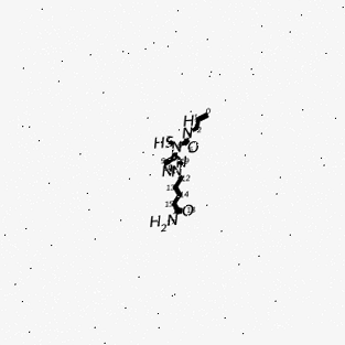 C=CCNC(=O)N(S)c1cnn(CCCCC(N)=O)n1